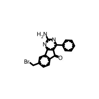 Nc1nc(-c2ccccc2)c2c(n1)-c1cc(CBr)ccc1C2=O